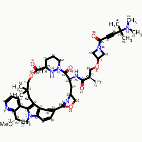 CCn1c(-c2cccnc2[C@H](C)OC)c2c3cc(ccc31)C1=NC(CO1)C[C@H](NC(=O)[C@@H](COC1CN(C(=O)C#CC(C)(C)N(C)C)C1)C(C)C)C(=O)N1CCC[C@H](N1)C(=O)OCC(C)(C)C2